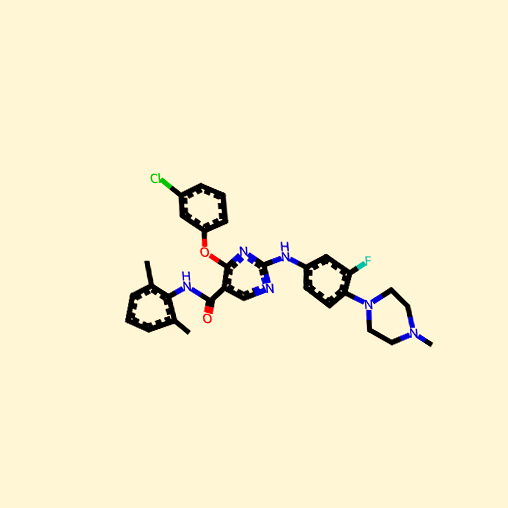 Cc1cccc(C)c1NC(=O)c1cnc(Nc2ccc(N3CCN(C)CC3)c(F)c2)nc1Oc1cccc(Cl)c1